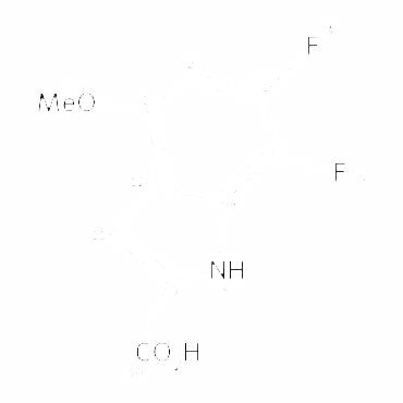 COc1cc(F)c(F)c2[nH]c(C(=O)O)cc12